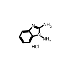 Cl.Nc1nc2ccccc2n1N